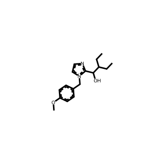 CCC(CC)C(O)c1nccn1Cc1ccc(OC)cc1